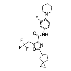 O=C(Nc1ccc(N2CCCCC2)c(F)c1)c1nc(N2CCC3(CC3)C2)oc1CC(F)(F)F